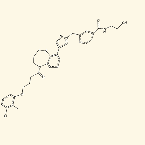 Cc1c(Cl)cccc1OCCCC(=O)N1CCCSc2c(-c3cnn(Cc4cccc(C(=O)NCCO)c4)c3)cccc21